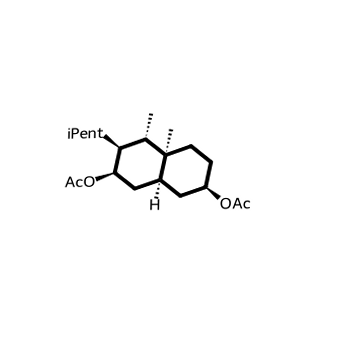 CCCC(C)[C@@H]1[C@H](OC(C)=O)C[C@@H]2C[C@H](OC(C)=O)CC[C@]2(C)[C@H]1C